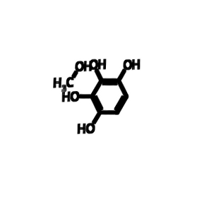 CO.Oc1ccc(O)c(O)c1O